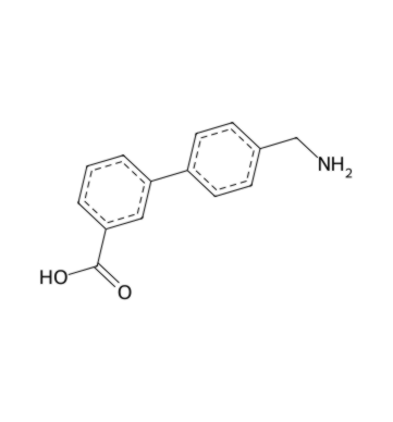 NCc1ccc(-c2cccc(C(=O)O)c2)cc1